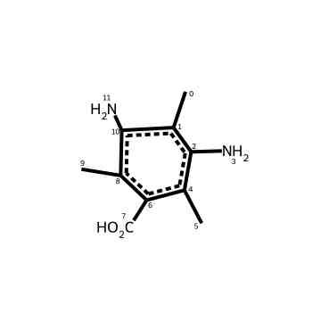 Cc1c(N)c(C)c(C(=O)O)c(C)c1N